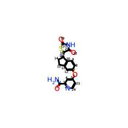 NC(=O)c1cc(Oc2ccc3c(c2)CC[C@H]3C2SC(=O)NC2=O)ccn1